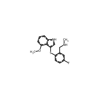 CNCc1cc(F)ccc1Sc1c[nH]c2cccc(OC)c12